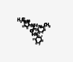 Cc1ccc(Nc2ccccc2)c(C(=O)Nc2ccn(C)n2)n1